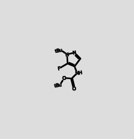 CC(C)(C)OC(=O)Nc1cnn(C(C)(C)C)c1F